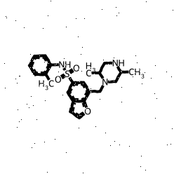 Cc1ccccc1NS(=O)(=O)c1cc(CN2CC(C)NCC2C)c2occc2c1